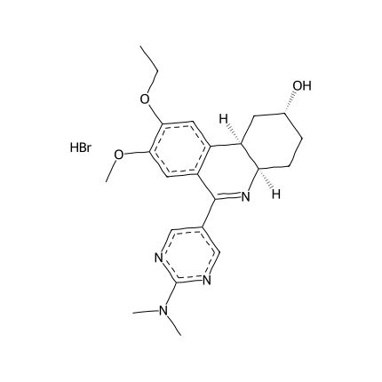 Br.CCOc1cc2c(cc1OC)C(c1cnc(N(C)C)nc1)=N[C@@H]1CC[C@@H](O)C[C@H]21